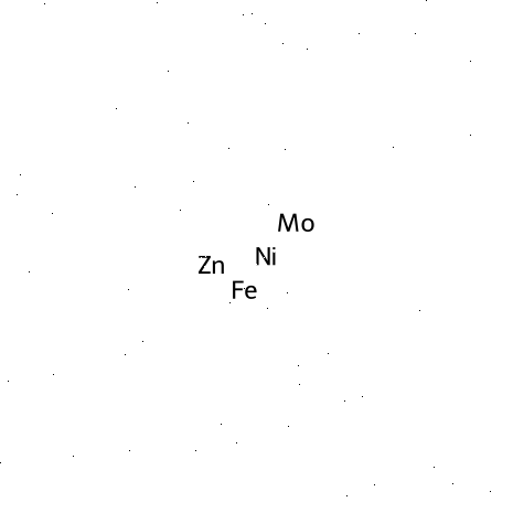 [Fe].[Mo].[Ni].[Zn]